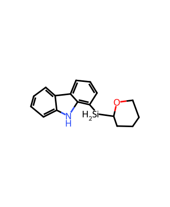 c1ccc2c(c1)[nH]c1c([SiH2]C3CCCCO3)cccc12